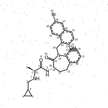 C[C@H](NCC1CC1)C(=O)N[C@H]1CCc2ccc#cc2N(Cc2c(O)ccc3cc(Br)ccc23)C1=O